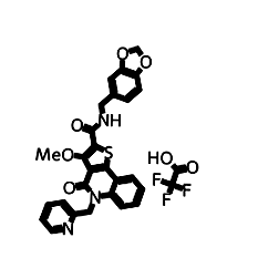 COc1c(C(=O)NCc2ccc3c(c2)OCO3)sc2c1c(=O)n(Cc1ccccn1)c1ccccc21.O=C(O)C(F)(F)F